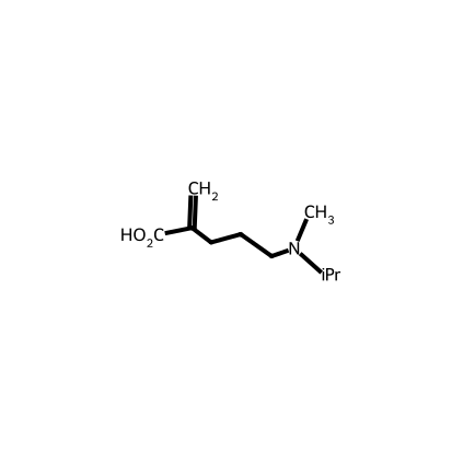 C=C(CCCN(C)C(C)C)C(=O)O